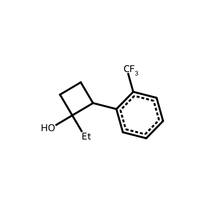 CCC1(O)CCC1c1ccccc1C(F)(F)F